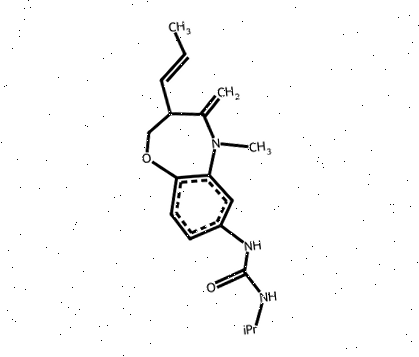 C=C1C(/C=C/C)COc2ccc(NC(=O)NC(C)C)cc2N1C